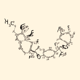 CCCc1cc2ccc(C(F)(F)Oc3ccc(C(F)(F)Oc4cc(F)c(F)c(F)c4)cc3)c(F)c2c(F)c1F